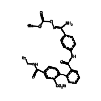 CCOC(=O)c1cc(C(=O)NCC(C)C)ccc1-c1ccccc1C(=O)Nc1ccc(C(N)=NOC(=O)OC(C)(C)C)cc1